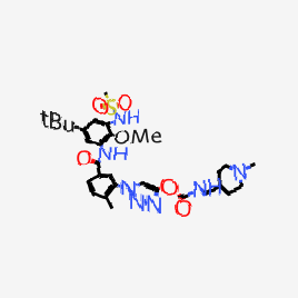 COc1c(NC(=O)c2ccc(C)c(-n3cc(OC(=O)NCC4CCN(C)CC4)nn3)c2)cc(C(C)(C)C)cc1NS(C)(=O)=O